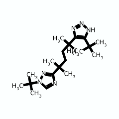 CC(C)(C)c1[nH]nnc1C(C)(C)CCC(C)(C)c1ncn(C(C)(C)C)n1